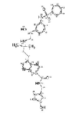 CC(C)(CCn1cnc2cc(C(=O)NCc3cc(O)on3)cnc21)NC[C@H](O)c1cccc(NS(=O)(=O)c2ccccc2)c1